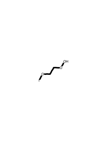 OOCCOI